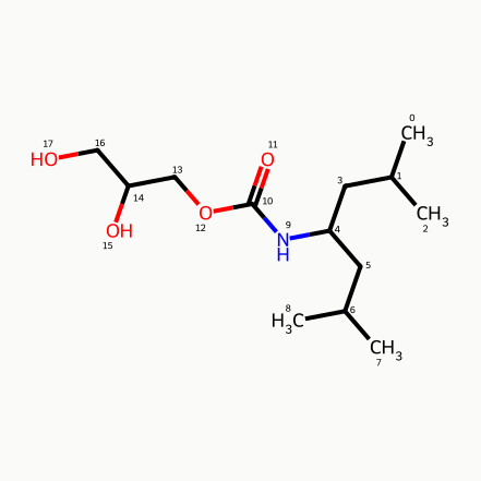 CC(C)CC(CC(C)C)NC(=O)OCC(O)CO